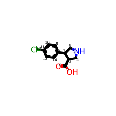 O=C(O)C1CNCC1c1ccc(Cl)cc1